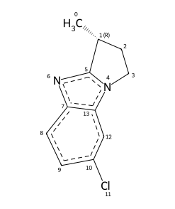 C[C@@H]1CCn2c1nc1ccc(Cl)cc12